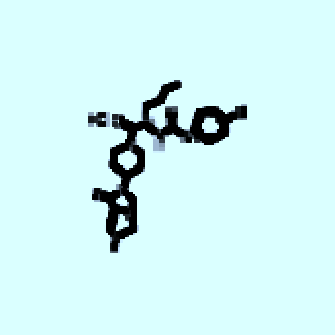 CCCC[C@@H](NC(=O)Nc1ccc(Cl)cc1)C(=O)N1CCC(N2CN3CN(C)C=C3C2=O)CC1.Cl